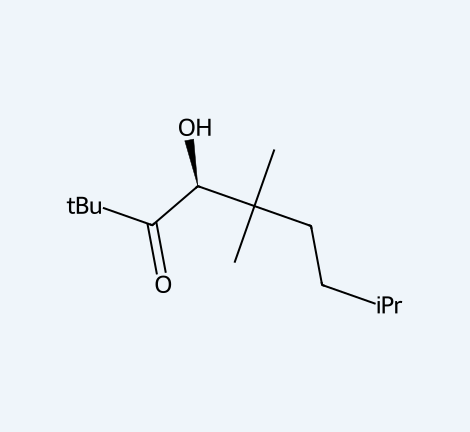 CC(C)CCC(C)(C)[C@H](O)C(=O)C(C)(C)C